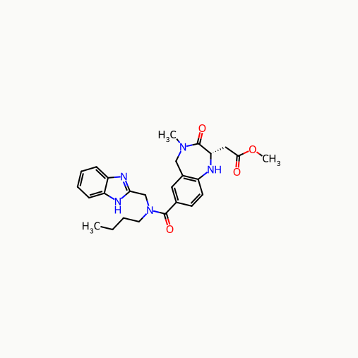 CCCCN(Cc1nc2ccccc2[nH]1)C(=O)c1ccc2c(c1)CN(C)C(=O)[C@H](CC(=O)OC)N2